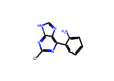 Nc1ccccc1-c1nc(Cl)nc2[nH]cnc12